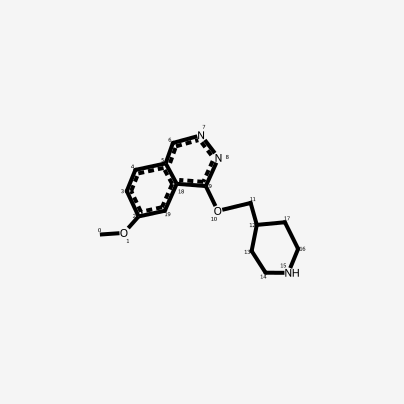 COc1ccc2cnnc(OCC3CCNCC3)c2c1